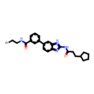 CC(C)CCNC(=O)c1cccc(-c2ccc3nc(NC(=O)CCC4CCCC4)[nH]c3c2)c1